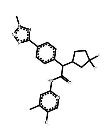 Cc1cc(NC(=O)C(c2ccc(-c3nnn(C)n3)cc2)C2CCC(F)(F)C2)ncc1Cl